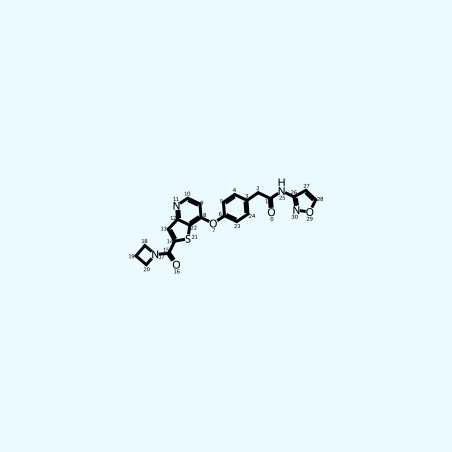 O=C(Cc1ccc(Oc2ccnc3cc(C(=O)N4CCC4)sc23)cc1)Nc1ccon1